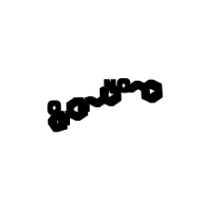 O=C1CCCN1C1CCN(CCc2ccc(OCCc3ccccc3)nc2)CC1